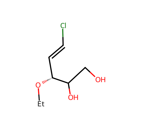 CCO[C@H](C=CCl)C(O)CO